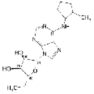 CC[C@H]1O[C@@H](n2cnc3c(NC4CCCC4C)ncnc32)[C@H](O)[C@@H]1O